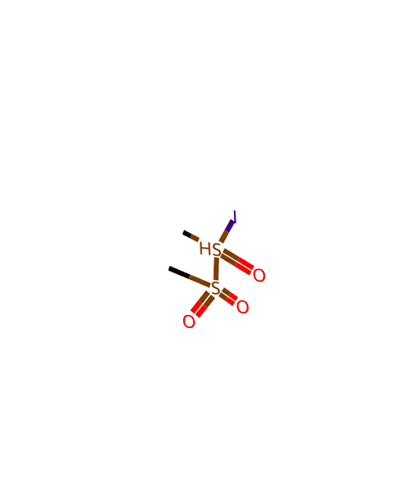 CS(=O)(=O)[SH](C)(=O)I